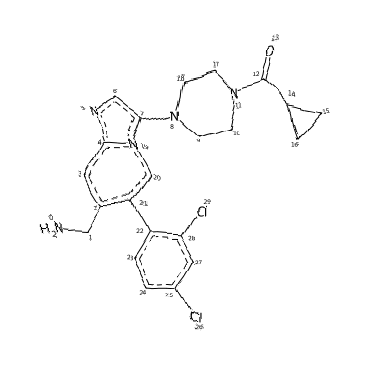 NCc1cc2ncc(N3CCN(C(=O)C4CC4)CC3)n2cc1-c1ccc(Cl)cc1Cl